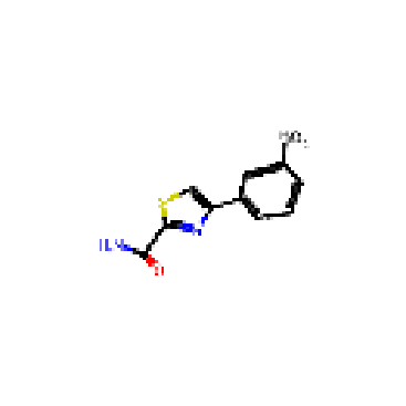 NC(=O)c1nc(-c2cccc([N+](=O)[O-])c2)cs1